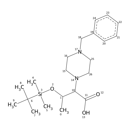 CC(O[Si](C)(C)C(C)(C)C)C(C(=O)O)N1CCN(Cc2ccccc2)CC1